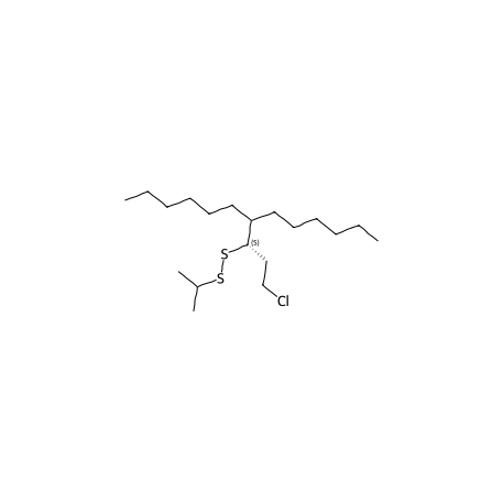 CCCCCCC(CCCCCC)[C@H](CCCl)SSC(C)C